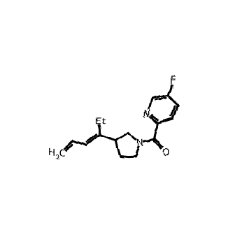 C=C/C=C(\CC)C1CCN(C(=O)c2ccc(F)cn2)C1